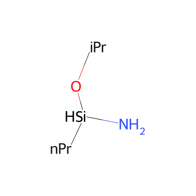 CCC[SiH](N)OC(C)C